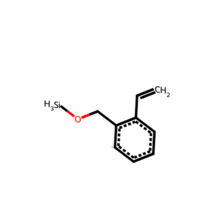 C=Cc1ccc[c]c1CO[SiH3]